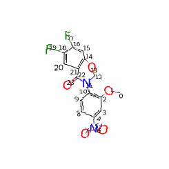 COc1cc([N+](=O)[O-])ccc1N1COc2cc(F)c(F)cc2C1=O